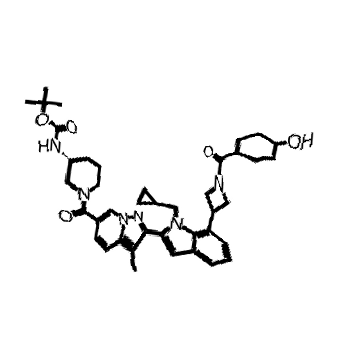 Cc1c(-c2cc3cccc(C4CN(C(=O)C5CCC(O)CC5)C4)c3n2CC2CC2)nn2cc(C(=O)N3CCC[C@@H](NC(=O)OC(C)(C)C)C3)ccc12